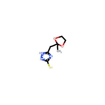 CC1(Cc2nc(S)n[nH]2)OCCO1